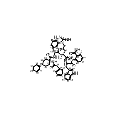 N=C(N)NCCC[C@H](NC(=O)[C@@H](Cc1ccccc1)NC(=O)[C@]1(NC(=O)Cc2ccccc2)CC[C@@H](c2ccccc2)CC1)C(=O)N[C@@H](Cc1c[nH]c2ccccc12)C(=O)Nc1ccccc1C(N)=O